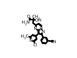 Cc1cc(-c2c(-c3cccc(C#N)c3)nn3ccc(CC(C)(O)C(N)=O)nc23)cc(Cl)n1